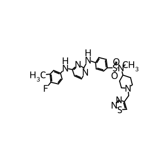 Cc1cc(Nc2ccnc(Nc3ccc(S(=O)(=O)N(C)C4CCN(Cc5csnn5)CC4)cc3)n2)ccc1F